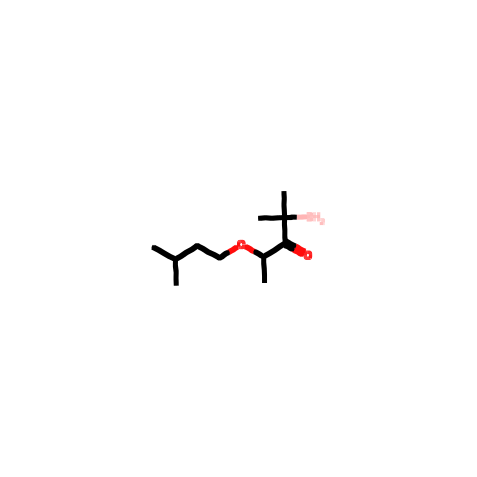 BC(C)(C)C(=O)C(C)OCCC(C)C